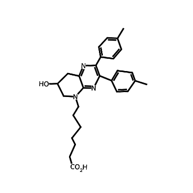 Cc1ccc(-c2nc3c(nc2-c2ccc(C)cc2)N(CCCCCCC(=O)O)CC(O)C3)cc1